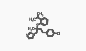 CC(C)c1ccccc1SC(C)(CCc1ccc(Cl)cc1)Cn1ccnc1